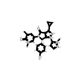 Cc1cc(N2C(=O)c3c(C4CC4)nn(-c4ccnn4C)c3[C@@H]2c2ccc(Cl)cc2)cn(C)c1=O